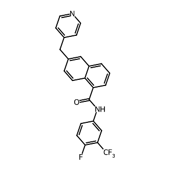 O=C(Nc1ccc(F)c(C(F)(F)F)c1)c1cccc2cc(Cc3ccncc3)ccc12